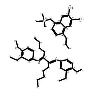 CCCCCC(=Nc1ccc(CC)c(CC)c1)C(CCCC)=Nc1ccc(CC)c(CC)c1.CCCc1ccc(C[Si](C)(C)C)c2cc(O)c(O)cc12